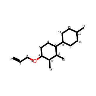 C=CCOC1CCC(C2CCC(C)CC2)C(C)C1C